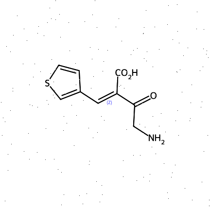 NCC(=O)/C(=C/c1ccsc1)C(=O)O